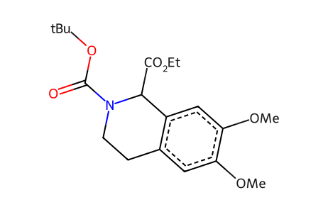 CCOC(=O)C1c2cc(OC)c(OC)cc2CCN1C(=O)OC(C)(C)C